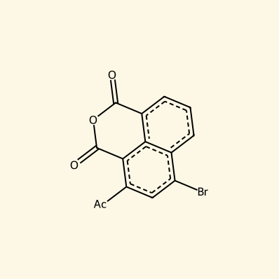 CC(=O)c1cc(Br)c2cccc3c2c1C(=O)OC3=O